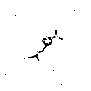 CC(C)OCc1cn([SH](C)C)nn1